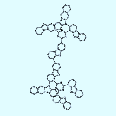 c1ccc2cc3c(cc2c1)c1ccccc1n3-c1ccc2c(oc3ccccc32)c1-c1nc(-c2ccc3sc4ccccc4c3c2)nc(-c2ccc3sc4c(-c5ccc6oc7c(-c8nc(-c9cccc%10c9oc9ccccc9%10)nc(-c9cccc%10c9oc9ccccc9%10)n8)c(-n8c9ccccc9c9cc%10ccccc%10cc98)ccc7c6c5)cccc4c3c2)n1